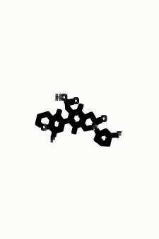 Cc1c(-c2c(C)c3c(c(C)c2CC(=O)O)CC(=O)N(c2cccc(F)c2)C3)cc(F)c2c1CCCO2